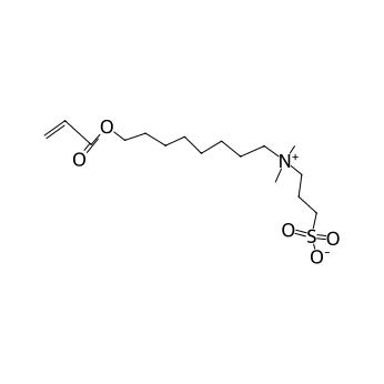 C=CC(=O)OCCCCCCCC[N+](C)(C)CCCS(=O)(=O)[O-]